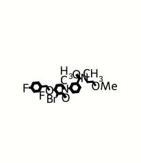 COCCN(C)C(=O)c1cccc(-n2c(C)cc(OCc3ccc(F)cc3F)c(Br)c2=O)c1